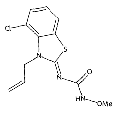 C=CCn1c(=NC(=O)NOC)sc2cccc(Cl)c21